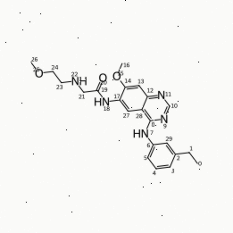 CCc1cccc(Nc2ncnc3cc(OC)c(NC(=O)CNCCOC)cc23)c1